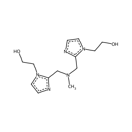 CN(Cc1nccn1CCO)Cc1nccn1CCO